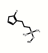 CC(C)(C)O[Si](C)(C)CCCC1=[C]([Ti])CC=C1